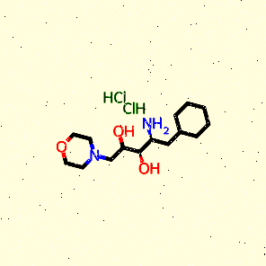 Cl.Cl.N[C@@H](CC1CCCCC1)[C@@H](O)C(O)CN1CCOCC1